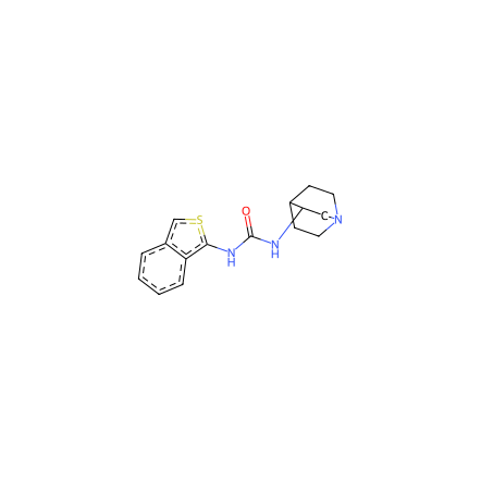 O=C(Nc1scc2ccccc12)NC1CN2CCC1CC2